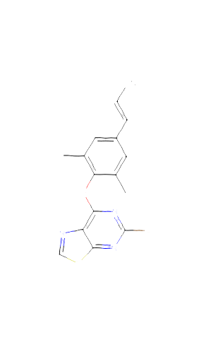 Cc1cc(/C=C/C#N)cc(C)c1Oc1nc(Br)nc2scnc12